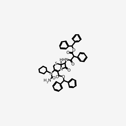 NC(=O)N(C1=C(C(=O)OC(c2ccccc2)c2ccccc2)N2C(=O)C(NC(=O)C(C(=O)OC(c3ccccc3)c3ccccc3)c3ccccc3)[C@H]2SC1)C1CCCCC1